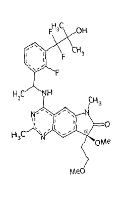 COCC[C@@]1(OC)C(=O)N(C)c2cc3c(NC(C)c4cccc(C(F)(F)C(C)(C)O)c4F)nc(C)nc3cc21